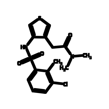 Cc1c(Cl)cccc1S(=O)(=O)Nc1cscc1CC(=O)N(C)C